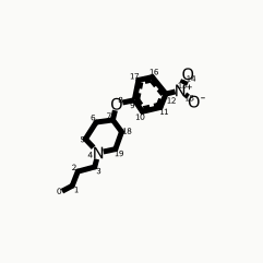 CCCCN1CCC(Oc2ccc([N+](=O)[O-])cc2)CC1